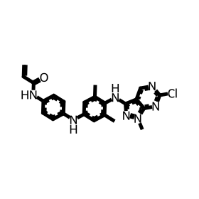 C=CC(=O)Nc1ccc(Nc2cc(C)c(Nc3nn(C)c4nc(Cl)ncc34)c(C)c2)cc1